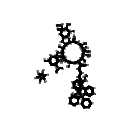 CC[C@H]1OC(=O)[C@H](C)[C@@H](O[C@H]2C[C@@](C)(OC)[C@@H](O)[C@H](C)O2)[C@H](C)[C@@H](O[C@@H]2O[C@H](C)C[C@H](N(C)C)[C@H]2O)[C@](C)(O)C[C@@H](C)CN(C(=O)CCCCCCC[P+](c2ccccc2-c2c(OC(C)C)cccc2OC(C)C)(C2CCCCC2)C2CCCCC2)[C@H](C)[C@@H](O)[C@]1(C)O.F[P-](F)(F)(F)(F)F